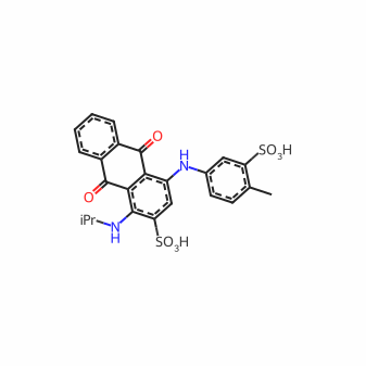 Cc1ccc(Nc2cc(S(=O)(=O)O)c(NC(C)C)c3c2C(=O)c2ccccc2C3=O)cc1S(=O)(=O)O